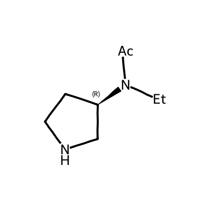 CCN(C(C)=O)[C@@H]1CCNC1